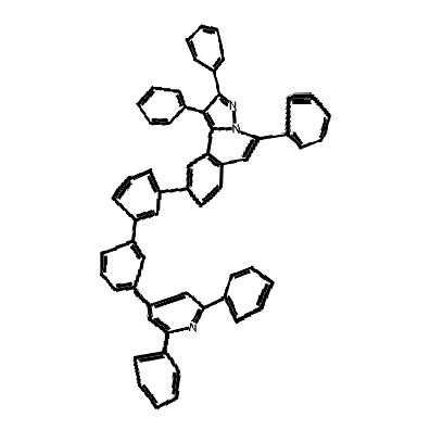 c1ccc(-c2cc(-c3cccc(-c4cccc(-c5ccc6cc(-c7ccccc7)n7nc(-c8ccccc8)c(-c8ccccc8)c7c6c5)c4)c3)cc(-c3ccccc3)n2)cc1